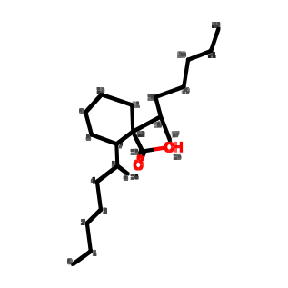 CCCCCC(C)C1CCCCC1(C(=O)O)C(C)CCCCC